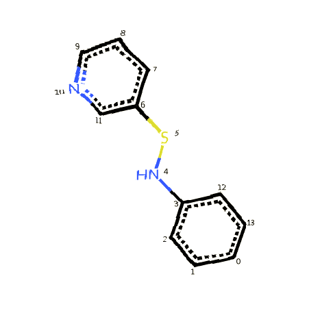 c1ccc(NSc2cccnc2)cc1